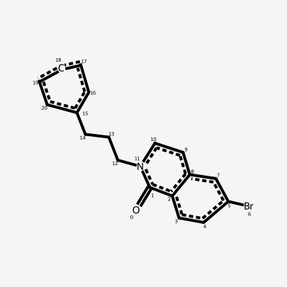 O=c1c2ccc(Br)cc2ccn1CCCc1ccccc1